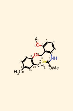 CCOc1cccc(NC(=S)OC)c1COc1ccc(C)cc1C